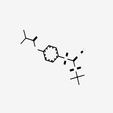 CC(C)C(=O)Oc1ccc(S(=O)(=O)C(=[N+]=[N-])S(=O)(=O)C(C)(C)C)cc1